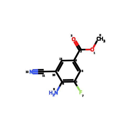 COC(=O)c1cc(F)c(N)c(C#N)c1